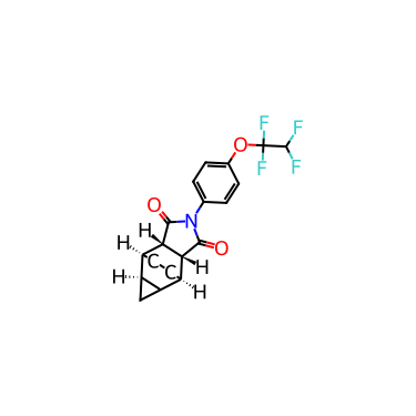 O=C1[C@H]2[C@H]3CC[C@H](C4C[C@H]43)[C@H]2C(=O)N1c1ccc(OC(F)(F)C(F)F)cc1